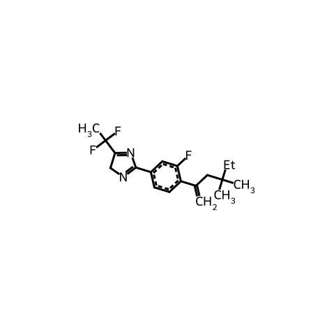 C=C(CC(C)(C)CC)c1ccc(C2=NCC(C(C)(F)F)=N2)cc1F